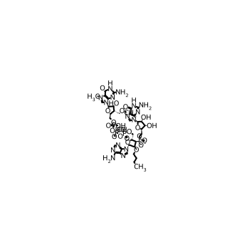 CCCCO[C@@H]1[C@H](P(=O)([O-])OC[C@H]2O[C@@H](n3cnc4c(=O)[nH]c(N)nc43)[C@H](O)[C@@H]2O)[C@@H](COP(=O)(O)OP(=O)(O)OP(=O)(O)OC[C@H]2O[C@@H](n3c[n+](C)c4c(=O)[nH]c(N)nc43)[C@H](O)[C@@H]2COC)O[C@H]1n1cnc2c(N)ncnc21